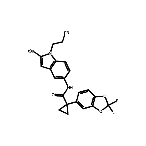 CC(C)(C)c1cc2cc(NC(=O)C3(c4ccc5c(c4)OC(F)(F)O5)CC3)ccc2n1CCC#N